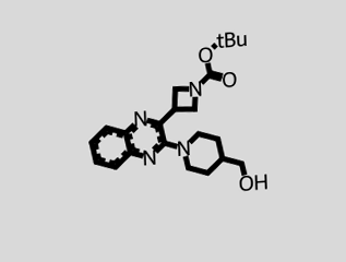 CC(C)(C)OC(=O)N1CC(c2nc3ccccc3nc2N2CCC(CO)CC2)C1